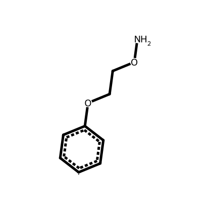 NOCCOc1cc[c]cc1